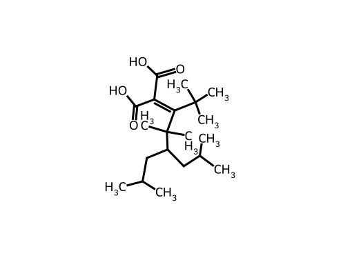 CC(C)CC(CC(C)C)C(C)(C)C(=C(C(=O)O)C(=O)O)C(C)(C)C